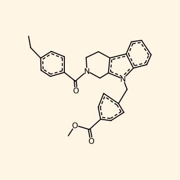 CCc1ccc(C(=O)N2CCc3c(n(Cc4ccc(C(=O)OC)cc4)c4ccccc34)C2)cc1